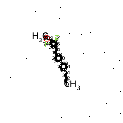 CCCCC[C@H]1CC[C@H](C2CCC(CCc3cc(F)c(COC)c(F)c3)CC2)CC1